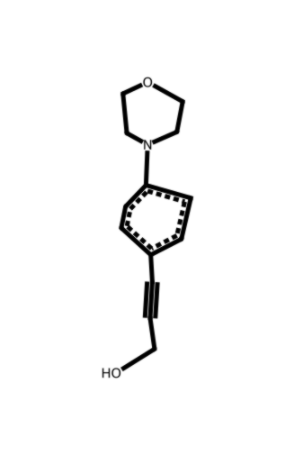 OCC#Cc1ccc(N2CCOCC2)cc1